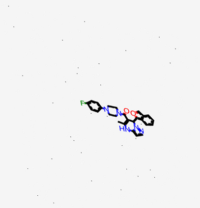 CC1=C(C(=O)N2CCN(c3ccc(F)cc3)CC2)C(c2occ3ccccc23)n2nccc2N1